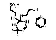 O=S(=O)(O)CCNC1(NCCO)NC=NC(F)(F)N1.c1ncncn1